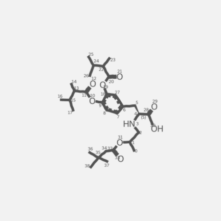 CC(CN[C@@H](Cc1ccc(OC(=O)C(C)C(C)C)c(OC(=O)C(C)C(C)C)c1)C(=O)O)OC(=O)CC(C)(C)C